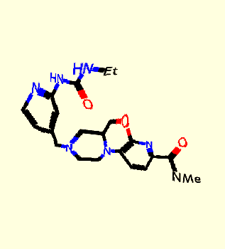 CCNC(=O)Nc1cc(CN2CCN3c4ccc(C(=O)NC)nc4OCC3C2)ccn1